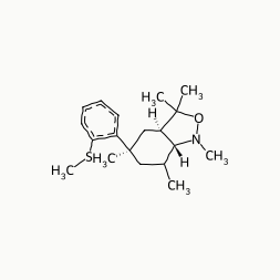 CSc1ccccc1[C@]1(C)CC(C)[C@@H]2[C@@H](C1)C(C)(C)ON2C